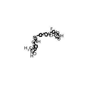 C[C@@H]1CNC(=O)c2cc3ccc(C(=O)Nc4cnn(Cc5ccc(N6CCC(N(C)Cc7cc(N8CCC(=O)NC8=O)ncc7F)CC6)cc5)c4)nc3n21